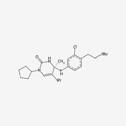 CC(C)C1=CN(C2CCCC2)C(=O)N[C@@]1(C)Pc1ccc(CCC(C)(C)C)c(Cl)c1